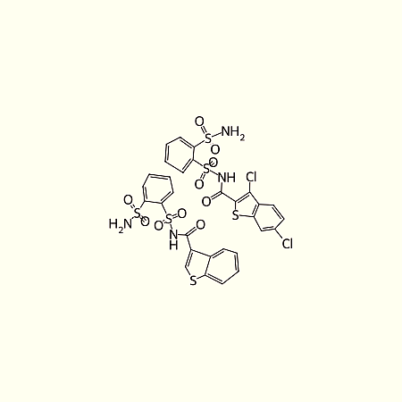 NS(=O)(=O)c1ccccc1S(=O)(=O)NC(=O)c1csc2ccccc12.NS(=O)(=O)c1ccccc1S(=O)(=O)NC(=O)c1sc2cc(Cl)ccc2c1Cl